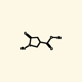 CCCCOC(=O)C1CC(=O)N(CCCC)C1